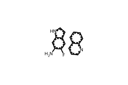 Nc1cc2[nH]ccc2cc1F.c1ccc2ncccc2c1